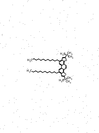 CCCCCCCCCCCCc1cc2c3cc(CCCCCCCCCCCC)c4c[c]([Sn]([CH3])([CH3])[CH3])sc4c3ccc2c2s[c]([Sn]([CH3])([CH3])[CH3])cc12